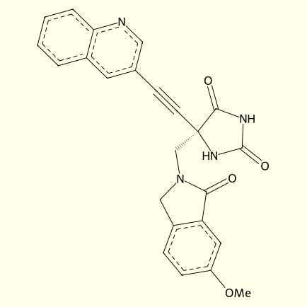 COc1ccc2c(c1)C(=O)N(C[C@@]1(C#Cc3cnc4ccccc4c3)NC(=O)NC1=O)C2